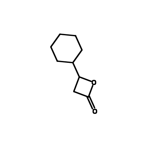 O=C1CC(C2CCCCC2)O1